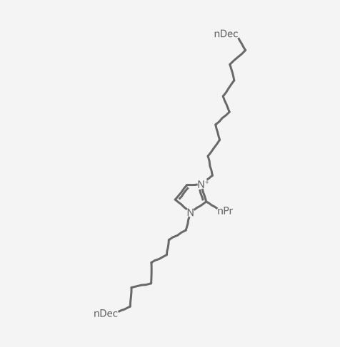 CCCCCCCCCCCCCCCCCCC[n+]1ccn(CCCCCCCCCCCCCCCCC)c1CCC